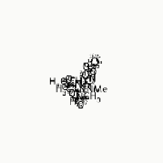 CNc1cnc2c(ccn2S(=O)(=O)c2ccccc2)c1-c1nc2c(c(C(C)(C)S(C)(=O)=O)n1)OC[C@H]1COC[C@H](C)N21